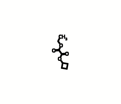 CCOC(=O)C(=O)OC1CCC1